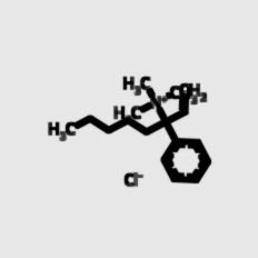 C=CC(CCCCC)(c1ccccc1)[N+](C)(C)C.[Cl-]